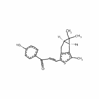 Cc1sc(C=CC(=O)c2ccc(O)cc2)c2c1[C@H]1[C@@H](C2)C1(C)C